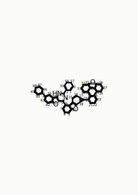 C1=CC(C2N=C(c3cccc4oc5c(c34)C=CC3C5=C3c3cccc4c5cccc6oc7cccc(c34)c7c65)c3oc4ccc(-c5ccccc5)cc4c3N2)=CCC1